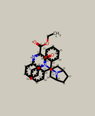 CCOC(=O)c1nc2ccccc2n(C2CC3CCC(C2)N3C(c2ccccc2)c2ccccc2)c1=O